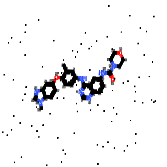 Cc1cc(Nc2ncnc3ccc(NC(=O)N4CCOCC4)cc23)ccc1OC1=CC2N=CN(C)C2C=C1